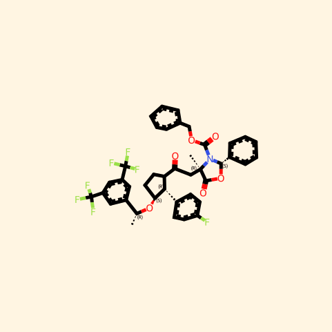 C[C@@H](O[C@H]1CCC(C(=O)C[C@]2(C)C(=O)O[C@@H](c3ccccc3)N2C(=O)OCc2ccccc2)[C@@H]1c1ccc(F)cc1)c1cc(C(F)(F)F)cc(C(F)(F)F)c1